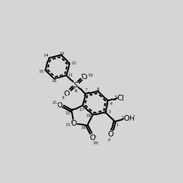 O=C(O)c1c(Cl)cc(S(=O)(=O)c2ccccc2)c2c1C(=O)OC2=O